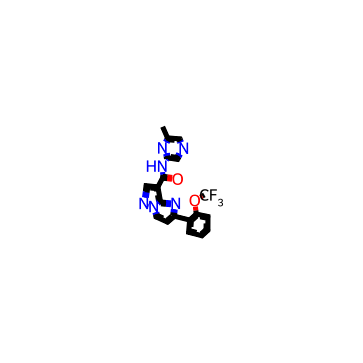 Cc1cncc(NC(=O)c2cnn3ccc(-c4ccccc4OC(F)(F)F)nc23)n1